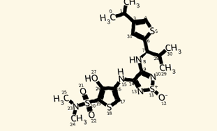 CC(C)c1csc([C@H](Nc2n[s+]([O-])nc2Nc2csc(S(=O)(=O)N(C)C)c2O)C(C)C)c1